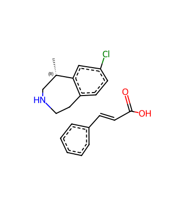 C[C@H]1CNCCc2ccc(Cl)cc21.O=C(O)C=Cc1ccccc1